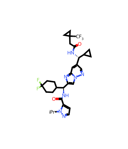 CC(C)n1nccc1C(=O)N[C@H](c1cn2ncc([C@H](NC(=O)CC3(C(F)(F)F)CC3)C3CC3)cc2n1)C1CCC(F)(F)CC1